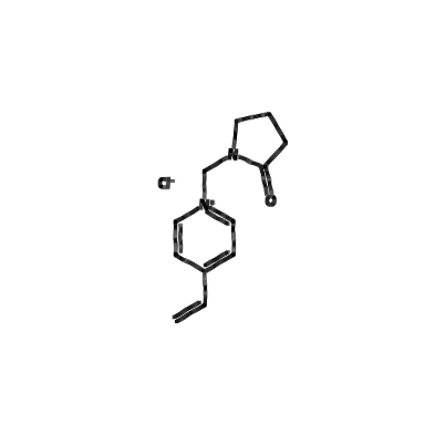 C=Cc1cc[n+](CN2CCCC2=O)cc1.[Cl-]